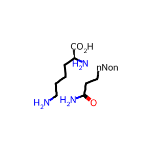 CCCCCCCCCCCC(N)=O.NCCCC[C@H](N)C(=O)O